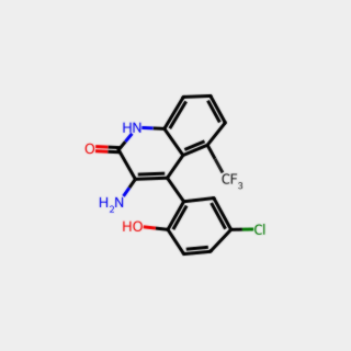 Nc1c(-c2cc(Cl)ccc2O)c2c(C(F)(F)F)cccc2[nH]c1=O